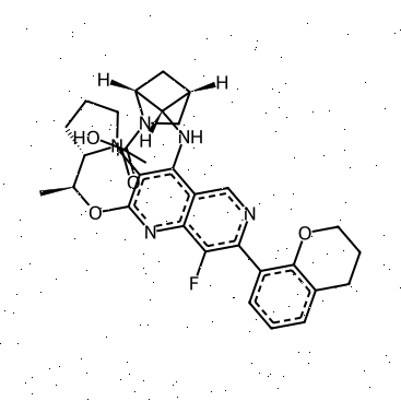 C[C@H](Oc1nc2c(F)c(-c3cccc4c3OCCC4)ncc2c(N[C@H]2[C@@H]3C[C@H]2N(C(=O)O)C3)c1I)[C@@H]1CCCN1C